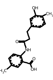 Cc1ccc(NC(=O)CCc2ccc(C)c(O)c2)c(C(=O)O)c1